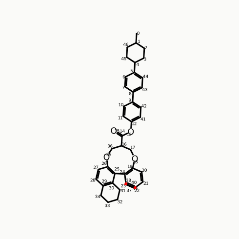 CC1CCC(c2ccc(-c3ccc(OC(=O)C4COc5ccc6c(c5-c5c(ccc7c5CCCC7)OC4)CCCC6)cc3)cc2)CC1